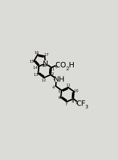 O=C(O)c1c(NCc2ccc(C(F)(F)F)cc2)ccc2cccn12